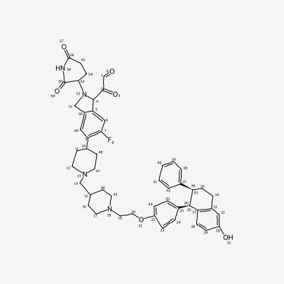 O=CC(=O)C1c2cc(F)c(C3CCN(CC4CCN(CCOc5ccc([C@@H]6c7ccc(O)cc7CC[C@@H]6c6ccccc6)cc5)CC4)CC3)cc2CN1C1CCC(=O)NC1=O